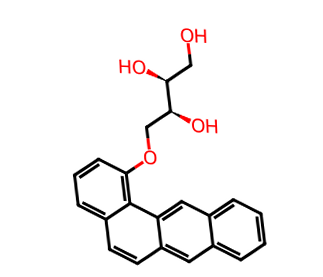 OC[C@H](O)[C@@H](O)COc1cccc2ccc3cc4ccccc4cc3c12